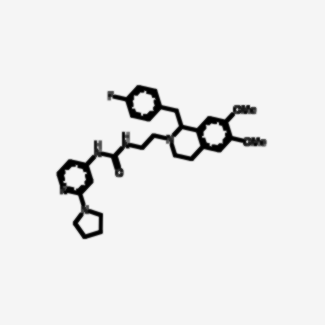 COc1cc2c(cc1OC)C(Cc1ccc(F)cc1)N(CCNC(=O)Nc1ccnc(N3CCCC3)c1)CC2